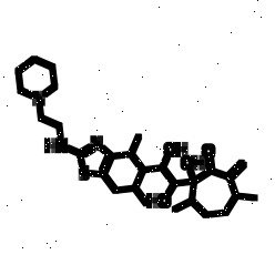 C=C1C(=O)C(O)(C(O)C(O)C2C(C)Cc3sc(NCCN4CCCCC4)nc3C2C)C(C)CCC1C